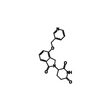 O=C1CCC(N2Cc3c(OCc4cccnc4)cccc3C2=O)C(=O)N1